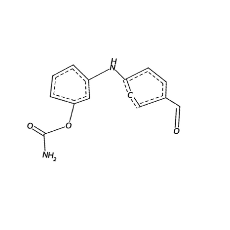 NC(=O)Oc1cccc(Nc2ccc(C=O)cc2)c1